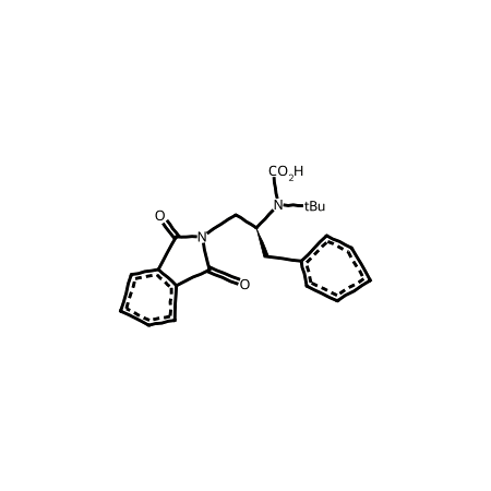 CC(C)(C)N(C(=O)O)[C@@H](Cc1ccccc1)CN1C(=O)c2ccccc2C1=O